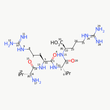 CC(C)[C@H](NC(=O)[C@H](CCCNC(=N)N)NC(=O)[C@H](N)C(C)C)C(=O)N[C@H](CCCNC(=N)N)C(=O)O